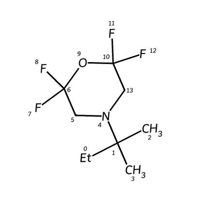 CCC(C)(C)N1CC(F)(F)OC(F)(F)C1